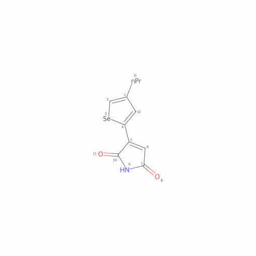 CCCc1c[se]c(C2=CC(=O)NC2=O)c1